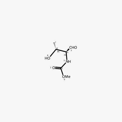 COC(=O)N[C@H](C=O)[C@@H](C)O